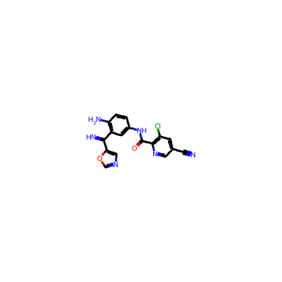 N#Cc1cnc(C(=O)Nc2ccc(N)c(C(=N)c3cnco3)c2)c(Cl)c1